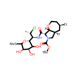 CC[C@@H]1CCO[C@@H]2[C@@H](C1)CN(C(=O)OC(C)(C)C)[C@@H]2C(=O)N[C@H]([C@H](C)Cl)[C@H]1OC(SC)[C@H](O)[C@H](O)C1O